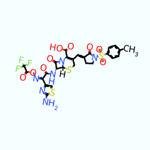 Cc1ccc(S(=O)(=O)N2CC/C(=C\C3=C(C(=O)O)N4C(=O)[C@@H](NC(=O)/C(=N\OC(=O)C(F)(F)F)c5csc(N)n5)[C@H]4SC3)C2=O)cc1